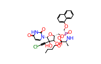 CCCCOC(=O)[C@H](C)N[P@@](=O)(COc1cccc2ccccc12)OC[C@H]1O[C@@H](n2ccc(=O)[nH]c2=O)C(O)(C#CCl)C1O